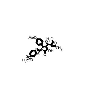 COc1ccc(C2C(C(=O)c3cc(C)oc3C)=C(O)C(=O)N2c2nc3ccc(S(C)(=O)=O)cc3s2)cc1